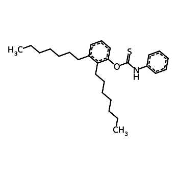 CCCCCCCc1cccc(OC(=S)Nc2ccccc2)c1CCCCCCC